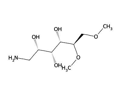 COC[C@@H](OC)[C@@H](O)[C@H](O)[C@@H](O)CN